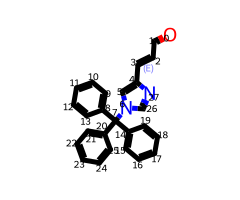 O=C/C=C/c1cn(C(c2ccccc2)(c2ccccc2)c2ccccc2)cn1